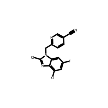 N#Cc1ccc(Cn2c(Cl)nc3c(Cl)cc(F)cc32)nc1